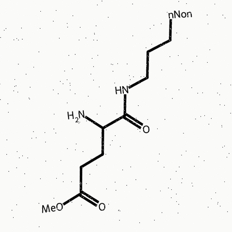 CCCCCCCCCCCCNC(=O)C(N)CCC(=O)OC